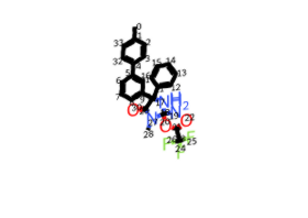 Cc1ccc(-c2cccc(C3(c4ccccc4)NC(N)(OC(=O)C(F)(F)F)N(C)C3=O)c2)cc1